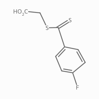 O=C(O)CSC(=S)c1ccc(F)cc1